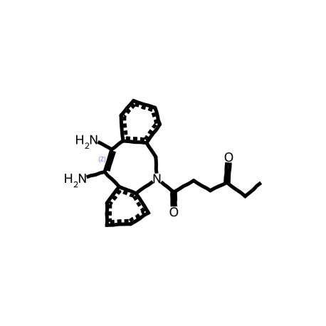 CCC(=O)CCC(=O)N1Cc2ccccc2/C(N)=C(/N)c2ccccc21